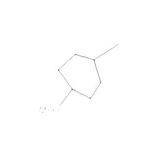 CO[C]1CCC(C)CC1